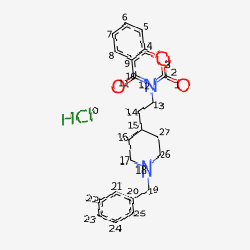 Cl.O=c1oc2ccccc2c(=O)n1CCC1CCN(Cc2ccccc2)CC1